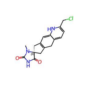 CN1C(=O)NC(=O)[C@@]12CC1=C(CC3=CC=C(CCl)NC3=C1)C2